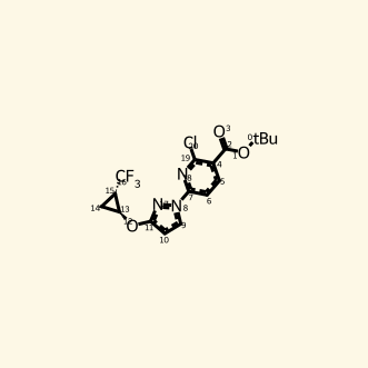 CC(C)(C)OC(=O)c1ccc(-n2ccc(O[C@H]3C[C@@H]3C(F)(F)F)n2)nc1Cl